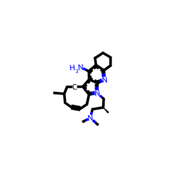 CC1CC#CCc2c(c3c(N)c4c(nc3n2C[C@@H](C)CN(C)C)CCCC4)CC1